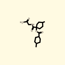 CC1CCC(C(=O)OC2(C(=O)NCC(N)=O)CCC(C)CC2)CC1